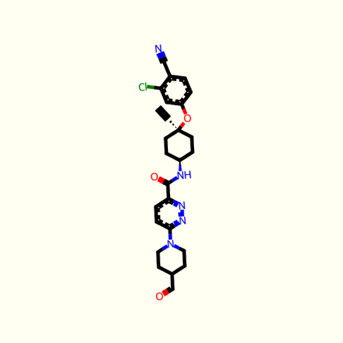 C#C[C@]1(Oc2ccc(C#N)c(Cl)c2)CC[C@@H](NC(=O)c2ccc(N3CCC(C=O)CC3)nn2)CC1